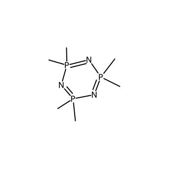 CP1(C)=NP(C)(C)=NP(C)(C)=N1